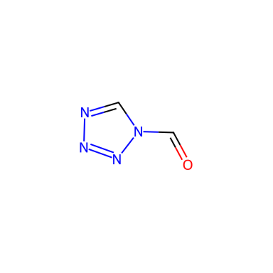 O=Cn1cnnn1